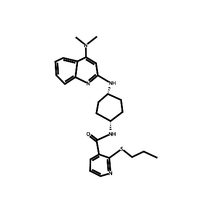 CCCSc1ncccc1C(=O)N[C@H]1CC[C@@H](Nc2cc(N(C)C)c3ccccc3n2)CC1